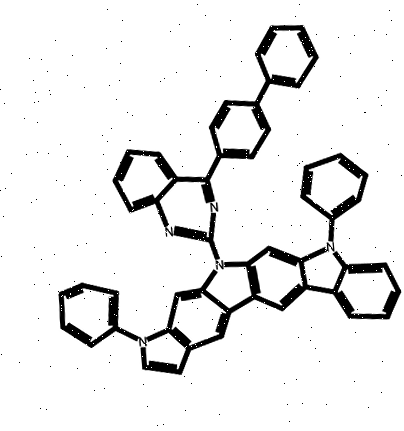 c1ccc(-c2ccc(-c3nc(-n4c5cc6c(ccn6-c6ccccc6)cc5c5cc6c7ccccc7n(-c7ccccc7)c6cc54)nc4ccccc34)cc2)cc1